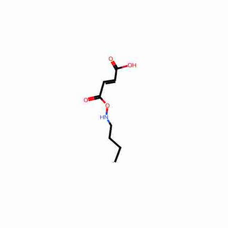 [CH2]CCCNOC(=O)/C=C/C(=O)O